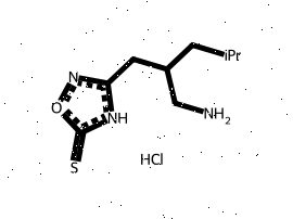 CC(C)CC(CN)Cc1noc(=S)[nH]1.Cl